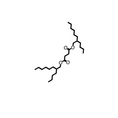 CCCCCCC(CCCC)COC(=O)CCC(=O)OCC(CCCC)CCCCCC